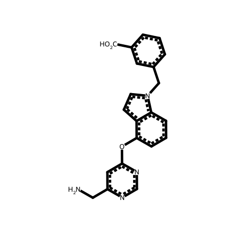 NCc1cc(Oc2cccc3c2ccn3Cc2cccc(C(=O)O)c2)ncn1